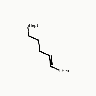 [CH2]CCCCC/C=C/CCCCCCCCC[CH2]